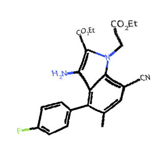 CCOC(=O)Cn1c(C(=O)OCC)c(N)c2c(-c3ccc(F)cc3)c(C)cc(C#N)c21